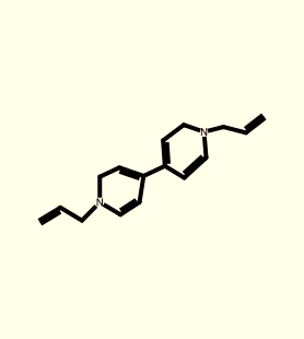 C=CCN1C=CC(C2=CCN(CC=C)C=C2)=CC1